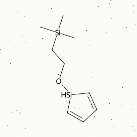 C[Si](C)(C)CCO[SiH]1C=CC=C1